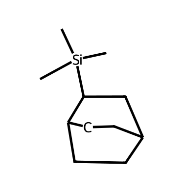 C[Si](C)(C)C1CC2CCC1CC2